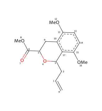 C=CCC1OC(C(=O)OC)Cc2c(OC)ccc(OC)c21